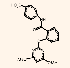 COc1cc(OC)nc(Oc2ccccc2C(=O)Nc2ccc(C(=O)O)cc2)n1